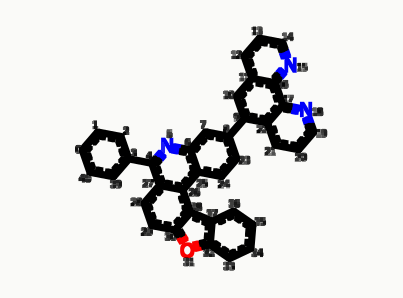 c1ccc(-c2nc3cc(-c4cc5cccnc5c5ncccc45)ccc3c3c2ccc2oc4ccccc4c23)cc1